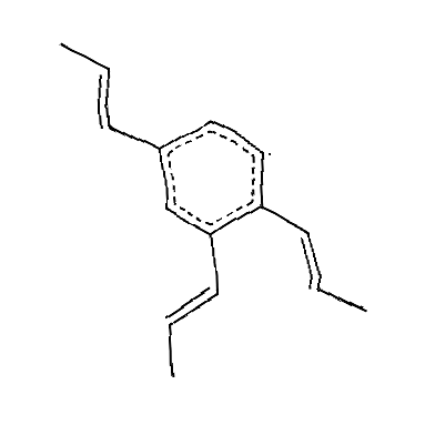 CC=Cc1c[c]c(C=CC)c(C=CC)c1